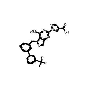 O=C(O)c1cnn(-c2nc(O)c3c(cnn3Cc3cccc(-c4cccc(C(F)(F)F)c4)c3)n2)c1